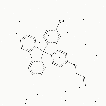 C=CCOc1ccc(C2(c3ccc(O)cc3)c3ccccc3-c3ccccc32)cc1